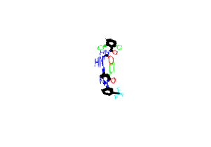 O=C(NC(=O)c1c(Cl)cccc1Cl)Nc1cnn(-c2cccc(C(F)(F)F)c2)c(=O)c1Cl